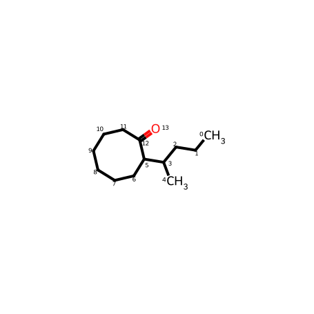 CCCC(C)C1CCCCCCC1=O